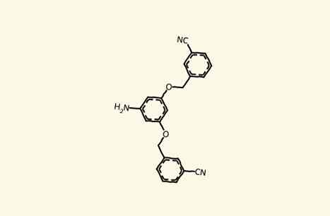 N#Cc1cccc(COc2cc(N)cc(OCc3cccc(C#N)c3)c2)c1